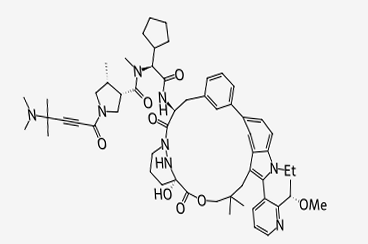 CCn1c(-c2cccnc2[C@H](C)OC)c2c3cc(ccc31)-c1cccc(c1)C[C@H](NC(=O)[C@H](C1CCCC1)N(C)C(=O)[C@@H]1CN(C(=O)C#CC(C)(C)N(C)C)C[C@@H]1C)C(=O)N1CCC[C@@](O)(N1)C(=O)OCC(C)(C)C2